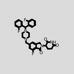 O=C1CCC(N2Cc3cc(CN4CCN(C(c5ccccc5F)c5ccccc5F)CC4)cc(F)c3C2=O)C(=O)N1